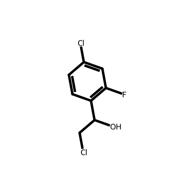 OC(CCl)c1ccc(Cl)cc1F